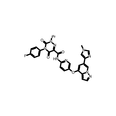 CC(C)n1nc(C(=O)Nc2ccc(Oc3cc(-c4cn(C)cn4)cn4nccc34)cn2)c(=O)n(-c2ccc(F)cc2)c1=O